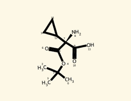 CC(C)(C)OC(=O)[C@@](N)(C(=O)O)C1CC1